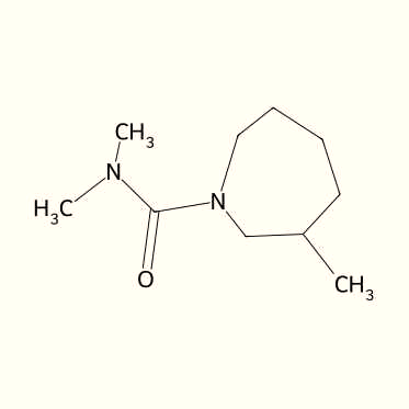 CC1CCCCN(C(=O)N(C)C)C1